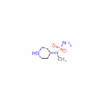 CN(C1CCNCC1)S(N)(=O)=O